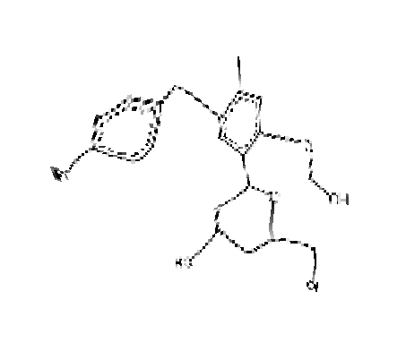 Cc1cc(OCO)c(C2CC(O)CC(CO)O2)cc1Cc1ccc(C(C)C)cc1